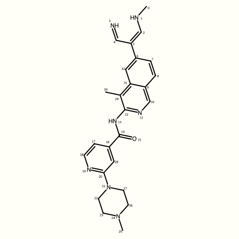 CN/C=C(\C=N)c1ccc2cnc(NC(=O)c3ccnc(N4CCN(C)CC4)c3)c(C)c2c1